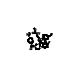 CCc1cccc(-c2c(F)cccc2[C@](O)(CCCNC(=O)OC)[C@H]2CN(C(=O)[C@H]3CC[C@H](CNC)CC3)CCO2)c1